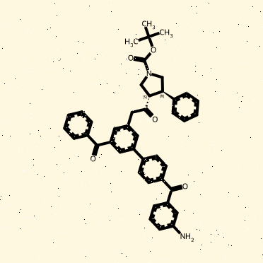 CC(C)(C)OC(=O)N1C[C@@H](C(=O)Cc2cc(C(=O)c3ccccc3)cc(-c3ccc(C(=O)c4cccc(N)c4)cc3)c2)[C@H](c2ccccc2)C1